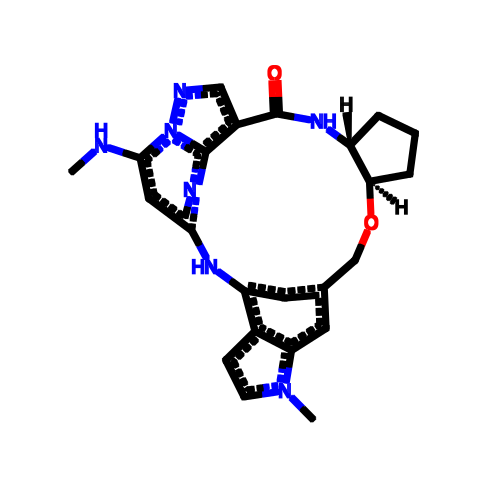 CNc1cc2nc3c(cnn13)C(=O)N[C@@H]1CCC[C@H]1OCc1cc(c3ccn(C)c3c1)N2